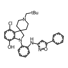 CC(C)(C)CN1CCC2(CC1)CN(c1ccccc1Nc1cc(-c3ccccc3)on1)c1c(O)ccc(Cl)c12